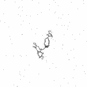 Cn1cc(C(F)(F)F)nc1-c1ccc(CN2CC(=O)Nc3cnc(Cl)nc32)cc1